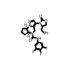 CC(C)CC1COC(=O)N1c1cnn2c1CN(C(=O)Nc1cc(F)c(F)c(F)c1)[C@H]1CCC[C@H]12